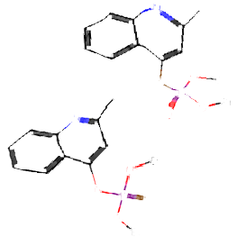 CCOP(=O)(OCC)Sc1cc(C)nc2ccccc12.CCOP(=S)(OCC)Oc1cc(C)nc2ccccc12